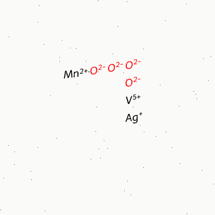 [Ag+].[Mn+2].[O-2].[O-2].[O-2].[O-2].[V+5]